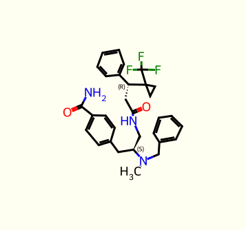 CN(Cc1ccccc1)[C@H](CNC(=O)C[C@H](c1ccccc1)C1(C(F)(F)F)CC1)Cc1ccc(C(N)=O)cc1